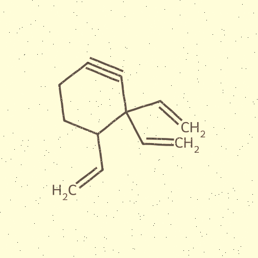 C=CC1CCC#CC1(C=C)C=C